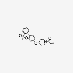 C=CC(=O)N1CCC(Oc2ccc(-c3ccccc3S(C)(=O)=O)cc2)CC1